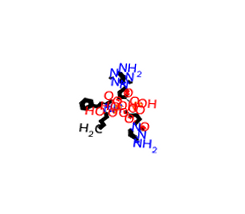 C=CCCC(O)N[C@@H](CCc1ccccc1)C(=O)OC1C[C@H](n2cnc3c(N)ncnc32)O[C@@H]1COP(=O)(O)O[C@H]1C[C@H](n2ccc(N)nc2=O)O[C@@H]1COP(=O)(O)O